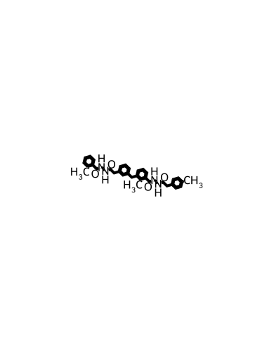 Cc1ccc(CC(=O)NNC(=O)c2cccc(Cc3cccc(CC(=O)NNC(=O)c4ccccc4C)c3)c2C)cc1